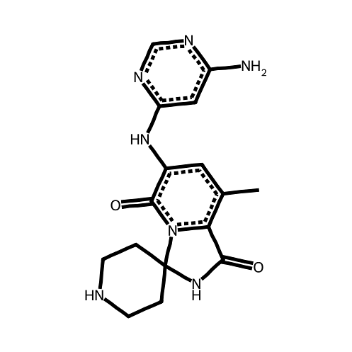 Cc1cc(Nc2cc(N)ncn2)c(=O)n2c1C(=O)NC21CCNCC1